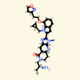 Cn1c(-c2cc3cccc(OCCc4ccon4)c3n2CC2CC2)nc2cc3c(nc21)CCN(C[C@H](N)CF)C3=O